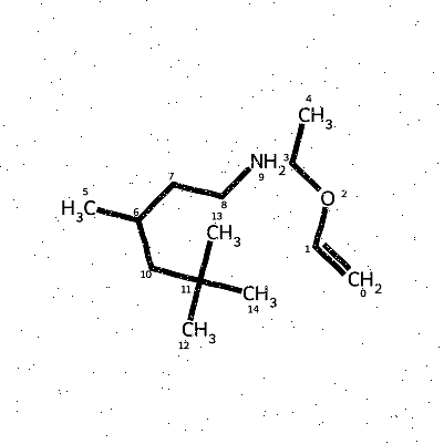 C=COCC.CC(CCN)CC(C)(C)C